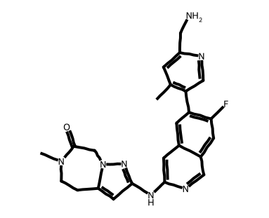 Cc1cc(CN)ncc1-c1cc2cc(Nc3cc4n(n3)CC(=O)N(C)CC4)ncc2cc1F